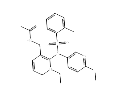 CCN1CC=CC(CNC(C)=O)=C1N(c1ccc(OC)nc1)S(=O)(=O)c1ccccc1C